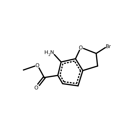 COC(=O)c1ccc2c(c1N)OC(Br)C2